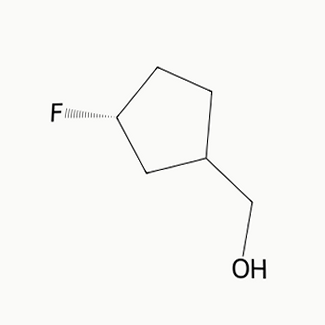 OCC1CC[C@@H](F)C1